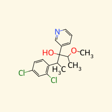 COC(C)C(O)(c1cccnc1)C(C)c1ccc(Cl)cc1Cl